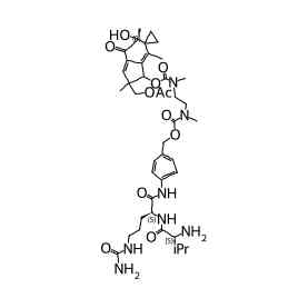 CC(=O)OCC1(C)C=C2C(=O)[C@](C)(O)C3(CC3)C(C)=C2C1OC(=O)N(C)CCN(C)C(=O)OCc1ccc(NC(=O)[C@H](CCCNC(N)=O)NC(=O)[C@@H](N)C(C)C)cc1